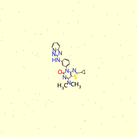 CN(C)c1nc(=O)n(-c2cccc(Nc3nc4ccccn4n3)c2)c2nc(C3CC3)sc12